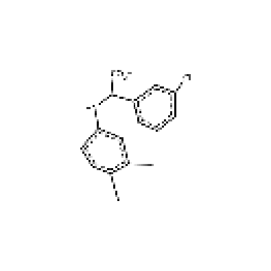 Cc1ccc(NC(C(=O)O)c2cccc(Cl)c2)cc1C